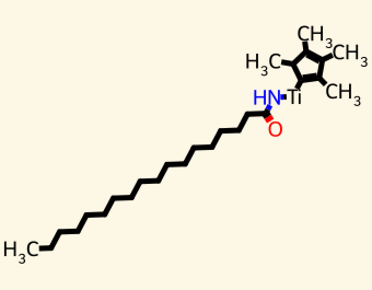 CCCCCCCCCCCCCCCCCC(=O)[NH][Ti][C]1=C(C)C(C)=C(C)C1C